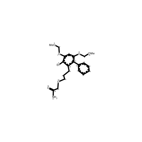 CCc1c(OCOC)cc(OCOC)c(-c2ccccc2)c1CCCOCC(N)=O